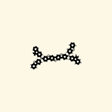 CC1(C)c2ccccc2-c2ccc(N(c3ccc4c(c3)oc3ccccc34)c3ccc4c(c3)oc3cc5c(cc34)oc3cc4c(cc35)oc3cc(N(c5ccc6c(c5)C(C)(C)c5ccccc5-6)c5ccc6c(c5)oc5ccccc56)ccc34)cc21